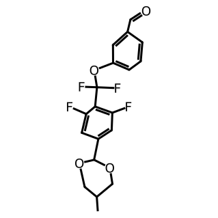 CC1COC(c2cc(F)c(C(F)(F)Oc3cccc(C=O)c3)c(F)c2)OC1